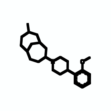 COc1ccccc1C1CCN(C2CCC3CCC(C)CC(C3)C2)CC1